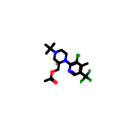 CC(=O)OC[C@H]1CN(C(C)(C)C)CCN1c1ncc(C(F)(F)F)c(C)c1Br